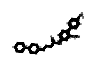 COc1cc(NC(=O)CCCN2CCC(N3CCCCC3)CC2)ccc1-c1ccc(C(F)(F)F)cc1